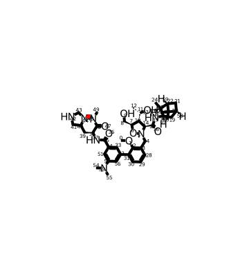 COc1c(CN2O[C@@H](CO)[C@H]([C@H](C)O)[C@H]2C(=O)N[C@H]2C[C@H]3C[C@@H]([C@@H]2C)C3(C)C)cccc1-c1cc(C(=O)N[C@@H](CC2CNCN2C)C(=O)N(C)C)cc(N(C)C)c1